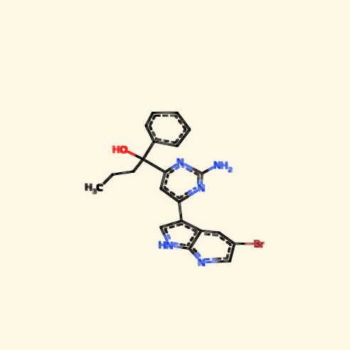 CCCC(O)(c1ccccc1)c1cc(-c2c[nH]c3ncc(Br)cc23)nc(N)n1